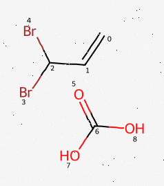 C=CC(Br)Br.O=C(O)O